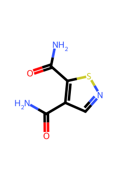 NC(=O)c1cnsc1C(N)=O